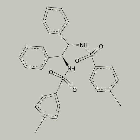 Cc1ccc(S(=O)(=O)N[C@@H](c2ccccc2)[C@@H](NS(=O)(=O)c2ccc(C)cc2)c2ccccc2)cc1